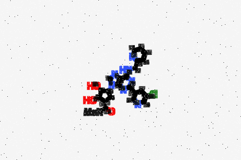 CNC(=O)[C@H]1C[C@@H](n2cnc3c(NCc4ccccn4)nc(-c4cncc(Cl)c4)nc32)[C@H](O)[C@@H]1O